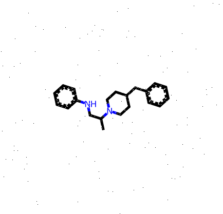 CC(CNc1ccccc1)N1CCC(Cc2ccccc2)CC1